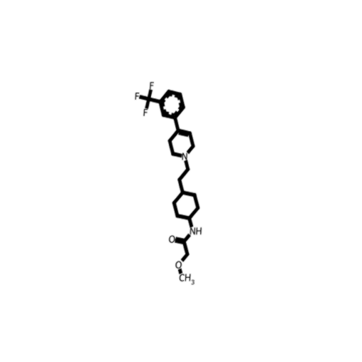 COCC(=O)NC1CCC(CCN2CC=C(c3cccc(C(F)(F)F)c3)CC2)CC1